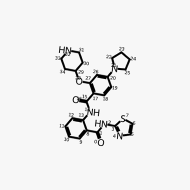 O=C(Nc1nccs1)c1ccccc1NC(=O)c1ccc(N2CCCC2)cc1OC1CCNCC1